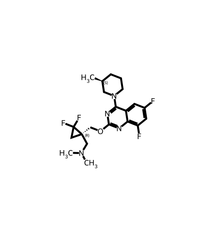 C[C@H]1CCCN(c2nc(OC[C@]3(CN(C)C)CC3(F)F)nc3c(F)cc(F)cc23)C1